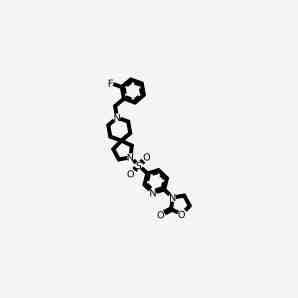 O=C1OCCN1c1ccc(S(=O)(=O)N2CCC3(CCN(Cc4ccccc4F)CC3)C2)cn1